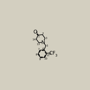 O=C1CCN(Cc2ccccc2C(F)(F)F)CC1